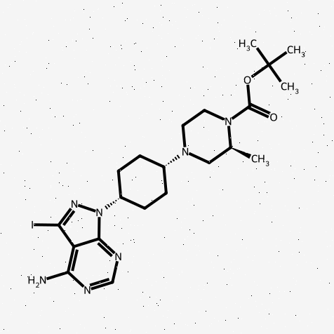 C[C@H]1CN([C@H]2CC[C@@H](n3nc(I)c4c(N)ncnc43)CC2)CCN1C(=O)OC(C)(C)C